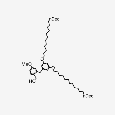 CCCCCCCCCCCCCCCCCCCCCCOc1cc(Cc2cc(OC)ccc2CO)cc(OCCCCCCCCCCCCCCCCCCCCCC)c1